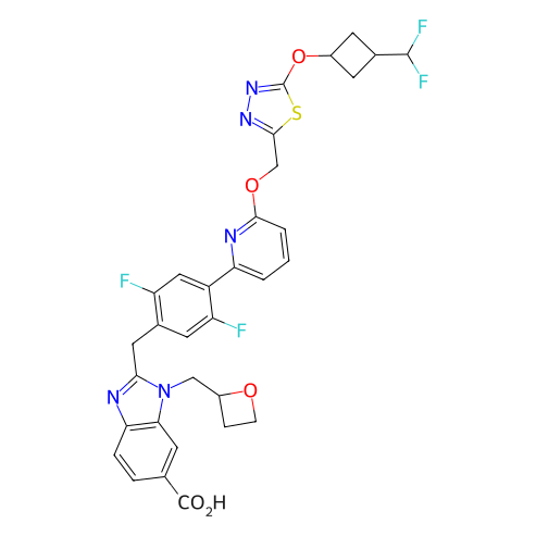 O=C(O)c1ccc2nc(Cc3cc(F)c(-c4cccc(OCc5nnc(OC6CC(C(F)F)C6)s5)n4)cc3F)n(CC3CCO3)c2c1